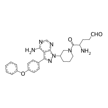 Nc1ncnc2c1c(-c1ccc(Oc3ccccc3)cc1)nn2C1CCCN(C(=O)C(N)CCC=O)C1